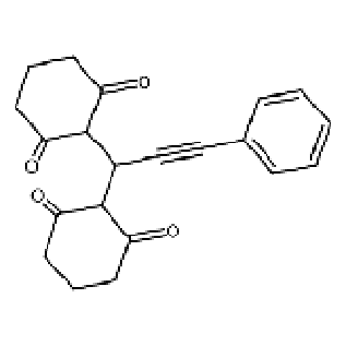 O=C1CCCC(=O)C1C(C#Cc1ccccc1)C1C(=O)CCCC1=O